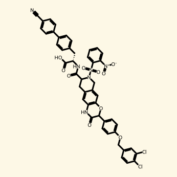 N#Cc1ccc(-c2ccc(C[C@H](NC(=O)C3Cc4cc5c(cc4CN3S(=O)(=O)c3ccccc3[N+](=O)[O-])OC(c3ccc(OCc4ccc(Cl)c(Cl)c4)cc3)C(=O)N5)C(=O)O)cc2)cc1